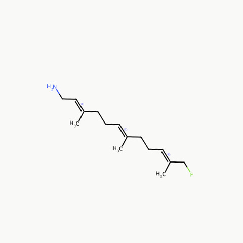 C/C(=C\CC/C(C)=C/CC/C(C)=C/CN)CF